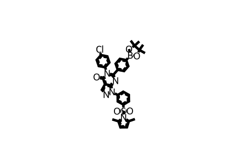 Cc1ccc(C)n1S(=O)(=O)c1cccc(-n2ncc3c(=O)n(-c4ccc(Cl)cc4)c(-c4ccc(B5OC(C)(C)C(C)(C)O5)cc4)nc32)c1